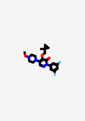 CON1CCN(c2cnn(-c3cc(F)cc(F)c3)c(=O)c2OCC2(C)CC2)CC1